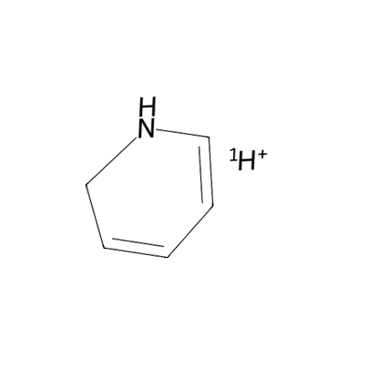 C1=CCNC=C1.[1H+]